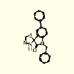 O=C1N(Cc2ccccc2)c2ccc(-c3ccccc3)cc2C12NN=CS2